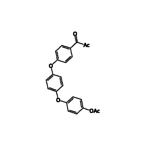 CC(=O)Oc1ccc(Oc2ccc(Oc3ccc(C(=O)C(C)=O)cc3)cc2)cc1